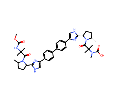 COC(=O)NC(C)(C)C(=O)N1C(C)CCC1c1nc(-c2ccc(-c3ccc(-c4c[nH]c([C@@H]5CC[C@H](C)N5C(=O)C(C)(C)N(C)C(=O)O)n4)cc3)cc2)c[nH]1